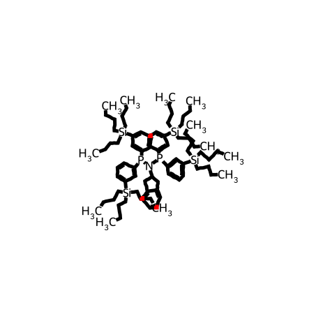 CCCC[Si](CCCC)(CCCC)c1cccc(P(c2cccc([Si](CCCC)(CCCC)CCCC)c2)N(C2Cc3ccccc3C2)P(c2cccc([Si](CCCC)(CCCC)CCCC)c2)c2cccc([Si](CCCC)(CCCC)CCCC)c2)c1